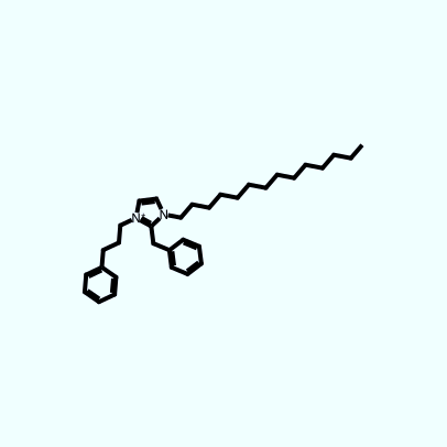 CCCCCCCCCCCCCCn1cc[n+](CCCc2ccccc2)c1Cc1ccccc1